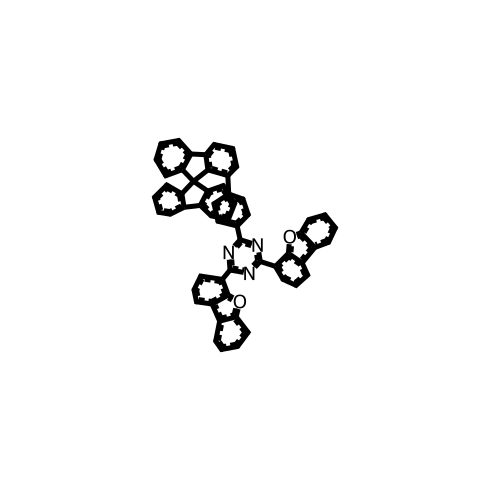 c1ccc2c(c1)-c1ccccc1C21c2ccccc2-c2cccc(-c3ccc(-c4nc(-c5cccc6c5oc5ccccc56)nc(-c5cccc6c5oc5ccccc56)n4)cc3)c21